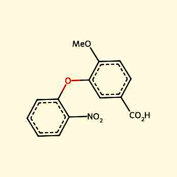 COc1ccc(C(=O)O)cc1Oc1ccccc1[N+](=O)[O-]